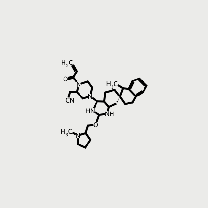 C=CC(=O)N1CCN(C2NC(OCC3CCCN3C)NC3C[C@]4(CCc5ccccc5C4C)CCC32)CC1CC#N